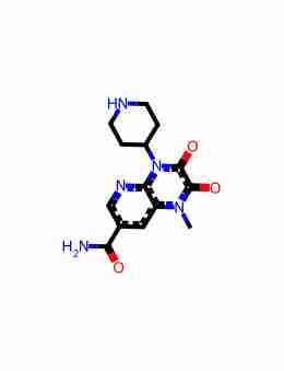 Cn1c(=O)c(=O)n(C2CCNCC2)c2ncc(C(N)=O)cc21